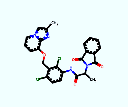 Cc1cn2cccc(OCc3c(Cl)ccc(NC(=O)C(C)N4C(=O)c5ccccc5C4=O)c3Cl)c2n1